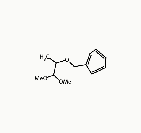 COC(OC)C(C)OCc1ccccc1